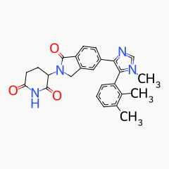 Cc1cccc(-c2c(-c3ccc4c(c3)CN(C3CCC(=O)NC3=O)C4=O)ncn2C)c1C